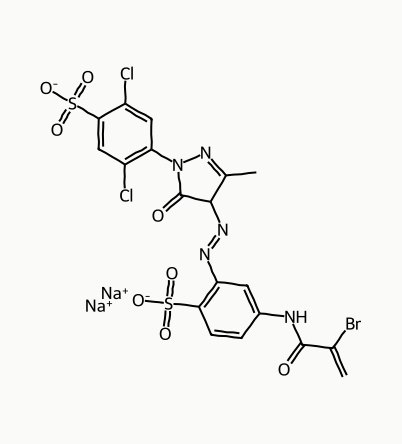 C=C(Br)C(=O)Nc1ccc(S(=O)(=O)[O-])c(N=NC2C(=O)N(c3cc(Cl)c(S(=O)(=O)[O-])cc3Cl)N=C2C)c1.[Na+].[Na+]